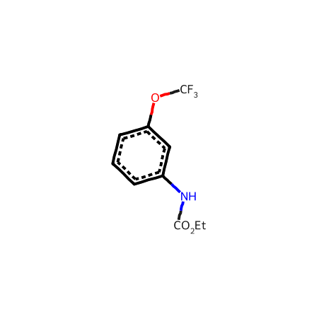 CCOC(=O)Nc1cccc(OC(F)(F)F)c1